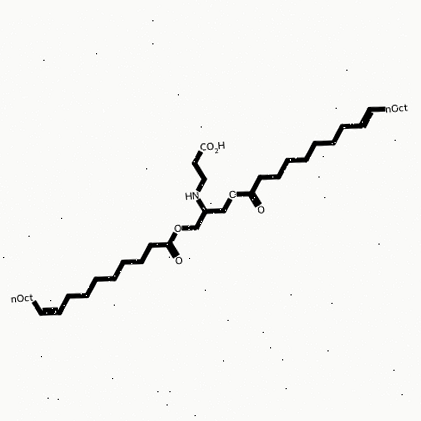 CCCCCCCCC=CCCCCCCCC(=O)OCC(COC(=O)CCCCCCC/C=C\CCCCCCCC)NCCC(=O)O